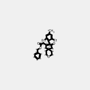 CCc1cc(C)cc(CC)c1C1=C(CC(=O)OCc2ccccc2)CC2(CCOCC2)CC1=O